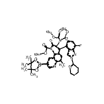 Cc1cc2c(-c3ccc(F)c4nn(C5CCCCO5)cc34)c(N(C(=O)OC(C)(C)C)C(=O)OC(C)(C)C)c(=O)n(C(=O)OC(C)(C)C)c2c2cc(B3OC(C)(C)C(C)(C)O3)cnc12